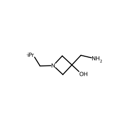 C[C](C)CN1CC(O)(CN)C1